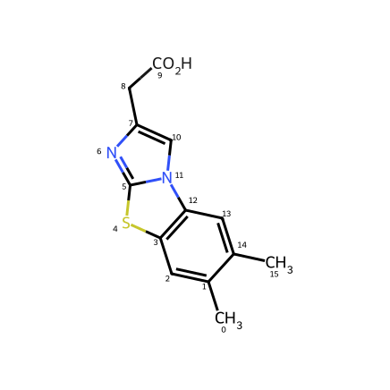 Cc1cc2sc3nc(CC(=O)O)cn3c2cc1C